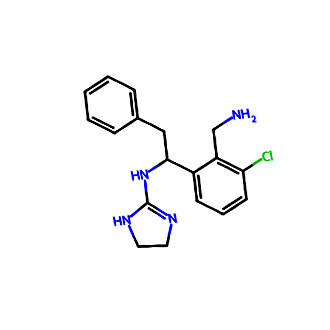 NCc1c(Cl)cccc1C(Cc1ccccc1)NC1=NCCN1